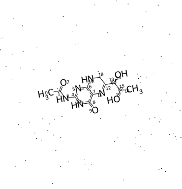 CC(=O)Nc1nc2c(c(=O)[nH]1)N=C([C@@H](O)[C@H](C)O)CN2